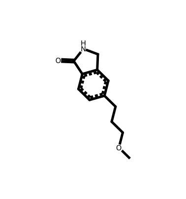 COCCCc1ccc2c(c1)CNC2=O